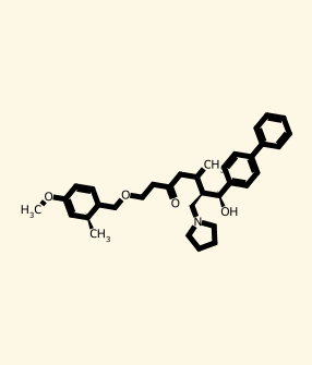 COC1=C[C@H](C)C(COCCC(=O)CC(C)[C@H](CN2CCCC2)[C@H](O)c2ccc(-c3ccccc3)cc2)C=C1